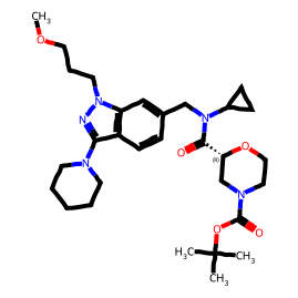 COCCCn1nc(N2CCCCC2)c2ccc(CN(C(=O)[C@H]3CN(C(=O)OC(C)(C)C)CCO3)C3CC3)cc21